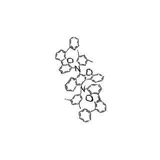 Cc1cc(C)cc(N(c2cccc3c2oc2c(-c4ccccc4)cccc23)c2c3ccccc3c(N(c3cc(C)cc(C)c3)c3cccc4c3oc3c(-c5ccccc5)cccc34)c3c2oc2ccccc23)c1